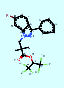 CC(C)(Cn1nc(-c2ccccc2)c2ccc(Br)cc21)C(=O)OC(C(F)(F)F)C(F)(F)F